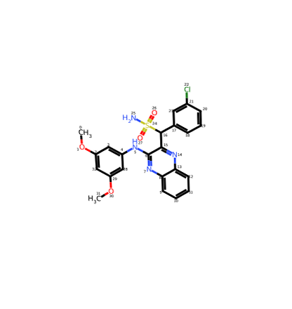 COc1cc(Nc2nc3ccccc3nc2C(c2cccc(Cl)c2)S(N)(=O)=O)cc(OC)c1